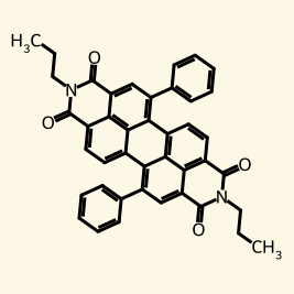 CCCN1C(=O)c2ccc3c4c(-c5ccccc5)cc5c6c(ccc(c7c(-c8ccccc8)cc(c2c37)C1=O)c64)C(=O)N(CCC)C5=O